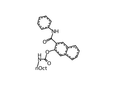 CCCCCCCCNC(=O)Oc1cc2ccccc2cc1C(=O)Nc1ccccc1